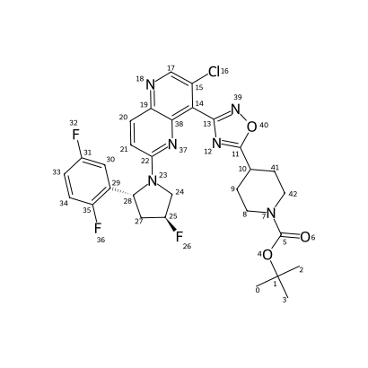 CC(C)(C)OC(=O)N1CCC(c2nc(-c3c(Cl)cnc4ccc(N5C[C@@H](F)C[C@@H]5c5cc(F)ccc5F)nc34)no2)CC1